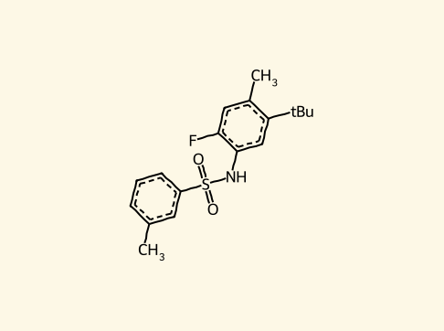 Cc1cccc(S(=O)(=O)Nc2cc(C(C)(C)C)c(C)cc2F)c1